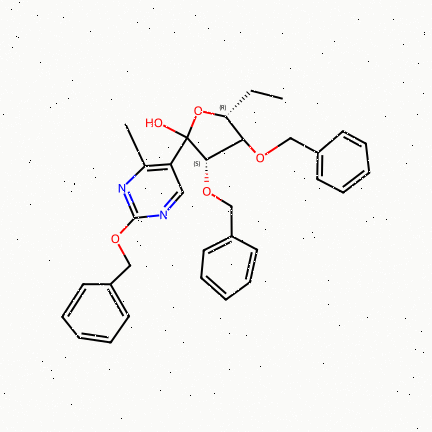 CC[C@H]1OC(O)(c2cnc(OCc3ccccc3)nc2C)[C@@H](OCc2ccccc2)C1OCc1ccccc1